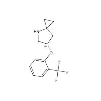 FC(F)(F)c1ccccc1O[C@@H]1CNC2(CC2)C1